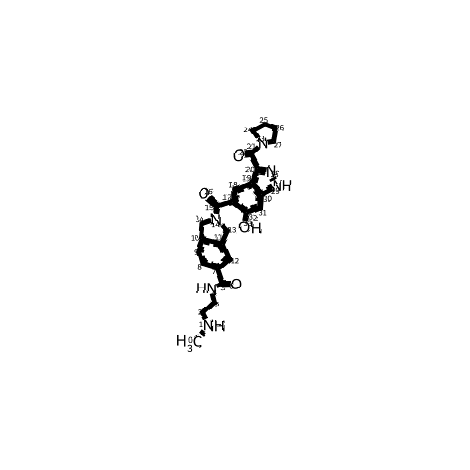 CNCCNC(=O)c1ccc2c(c1)CN(C(=O)c1cc3c(C(=O)N4CCCC4)n[nH]c3cc1O)C2